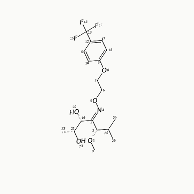 CO[C@H](/C(=N/OCCOc1ccc(C(F)(F)F)cc1)[C@@H](O)[C@@H](C)O)C(C)C